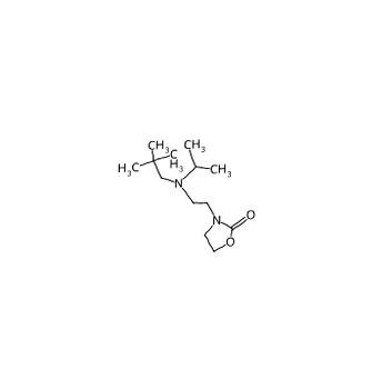 CC(C)N(CCN1CCOC1=O)CC(C)(C)C